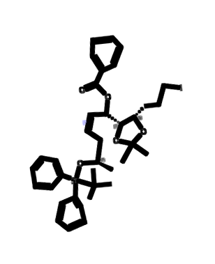 C[C@H](C/C=C\C(OC(=O)c1ccccc1)[C@H]1OC(C)(C)O[C@H]1CCCI)O[Si](c1ccccc1)(c1ccccc1)C(C)(C)C